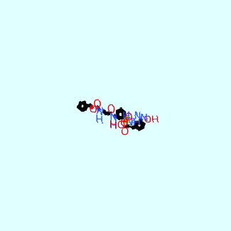 N/C(=N/O)c1cccc(C[C@H](NS(=O)(=O)c2cccc(NC(=O)CCNC(=O)OCc3ccccc3)c2)C(=O)O)c1